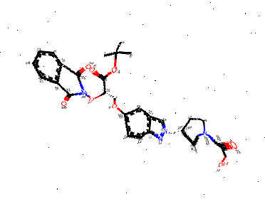 CC(C)(C)OC(=O)[C@H](COc1ccc2nn([C@@H]3CCN(C(=O)O)C3)cc2c1)ON1C(=O)c2ccccc2C1=O